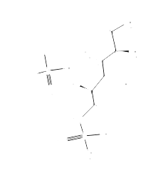 O=P(O)(O)O.O=P(O)(O)OC[C@@H](O)[C@@H](O)[C@H](O)[C@H](O)CO